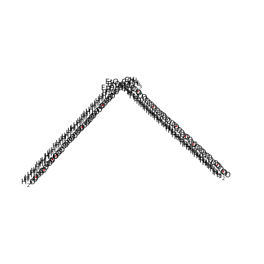 CCOC(C)=O.CCOC(C)=O.CCOC(C)=O.CCOC(C)=O.O.O.O.O.O.O.O.O.O.O.O.O.O.O.O.O.O.O.O.O.O.O.O.O.O.O.O.O.O.O.O.O.O.O.O.O.O.O.O.O.O.O.O.O.O.O.O.O.O.O.O.O.O.O.O.O.O.O.O.O.O.O.O.O.O.O.O.O.O.O.O.O.O.O.O.O.O.O.O.O.O.O.O.O.O.O.O.O.O.O.O.O.O.O.O.O